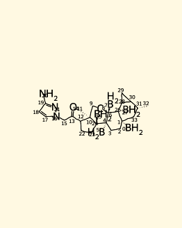 B[C@]12CC[C@]3(B)[C@](B)(CC[C@]4(C)C(C(=O)Cn5ccc(N)n5)CC[C@@]34B)[C@@]1(B)C1CC1[C@H](C)C2